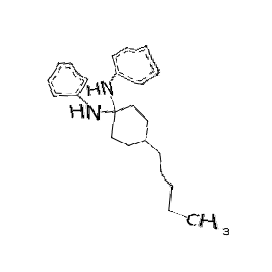 CCCCCC1CCC(Nc2ccccc2)(Nc2ccccc2)CC1